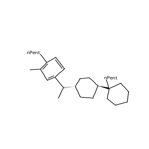 CCCCCc1ccc(C(C)[C@H]2CC[C@H](C3(CCCCC)CCCCC3)CC2)cc1C